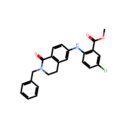 COC(=O)c1cc(Cl)ccc1Nc1ccc2c(c1)CCN(Cc1ccccc1)C2=O